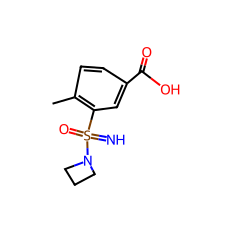 Cc1ccc(C(=O)O)cc1S(=N)(=O)N1CCC1